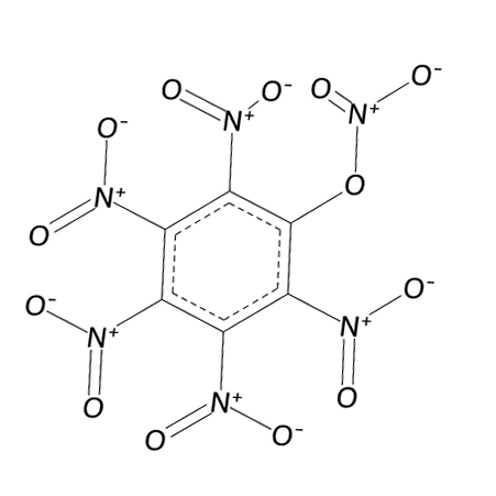 O=[N+]([O-])Oc1c([N+](=O)[O-])c([N+](=O)[O-])c([N+](=O)[O-])c([N+](=O)[O-])c1[N+](=O)[O-]